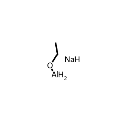 CC[O][AlH2].[NaH]